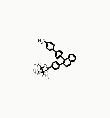 CC1(C)OB(c2ccc(-c3ccc4ccccc4c3-c3ccc(-c4ccc(N)cc4)cc3)cc2)OC1(C)C